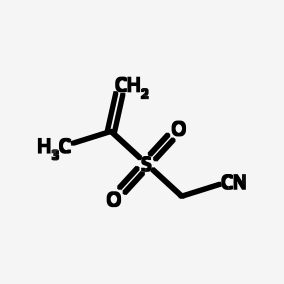 C=C(C)S(=O)(=O)CC#N